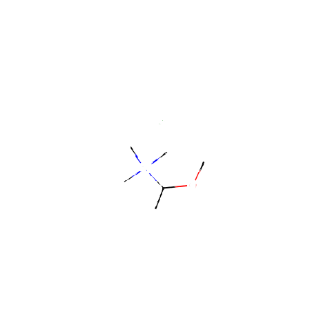 COC(C)[N+](C)(C)C.[F-]